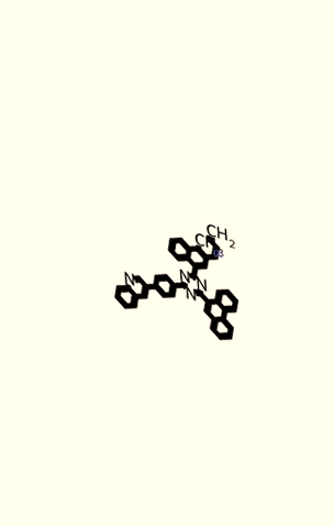 C=C/C=C\c1cc(-c2nc(-c3ccc(-c4cnc5ccccc5c4)cc3)nc(-c3cc4ccccc4c4ccccc34)n2)c2ccccc2c1C